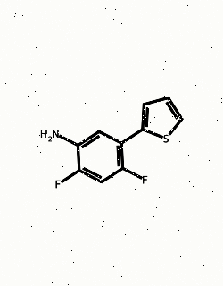 Nc1cc(-c2cccs2)c(F)cc1F